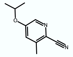 Cc1cc(OC(C)C)cnc1C#N